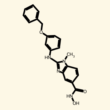 Cn1c(Nc2cccc(OCc3ccccc3)c2)nc2cc(C(=O)NO)ccc21